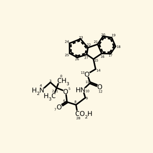 CC(C)(CN)OC(=O)C(CNC(=O)OCC1c2ccccc2-c2ccccc21)C(=O)O